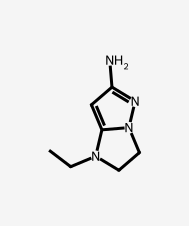 CCN1CCn2nc(N)cc21